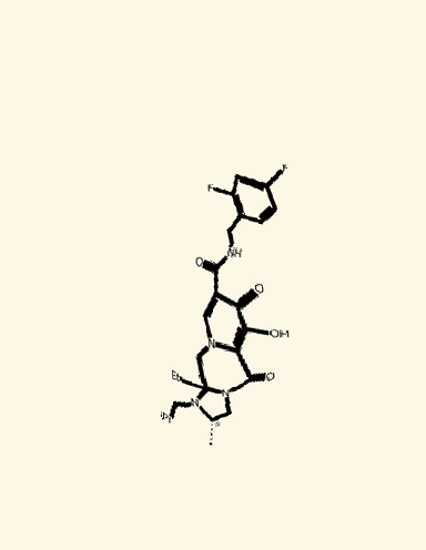 CCC12Cn3cc(C(=O)NCc4ccc(F)cc4F)c(=O)c(O)c3C(=O)N1C[C@H](C)N2CC(C)C